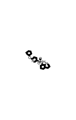 O=S(=O)(Nc1cccc2cccnc12)c1ccc(Oc2ccccc2)nc1